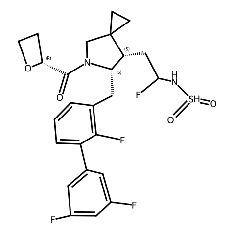 O=C([C@H]1CCO1)N1CC2(CC2)[C@H](CC(F)N[SH](=O)=O)[C@@H]1Cc1cccc(-c2cc(F)cc(F)c2)c1F